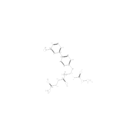 COC(=O)C[C@@H](Cc1ccc(-c2cccc(Cl)c2)cc1)NC(=O)CCC(=O)O